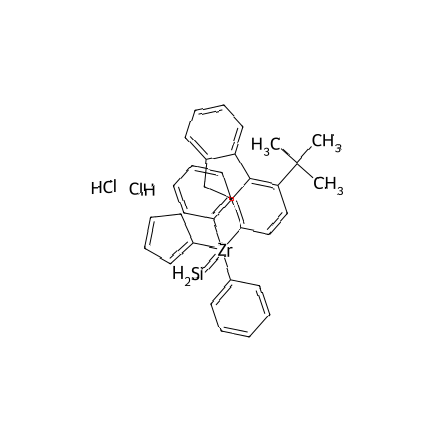 CC(C)(C)c1cc[c]([Zr](=[SiH2])([C]2=CC=CC2)([c]2ccccc2)[c]2ccccc2)c2c1-c1ccccc1C2.Cl.Cl